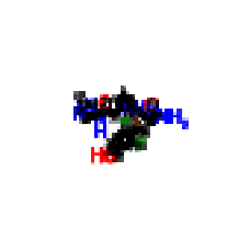 C/C(C(N)=O)=C(/Nc1cccc(CC(=O)Nc2cnn(C)n2)n1)SC(C)c1c(F)cc(C(C)(C)O)cc1F